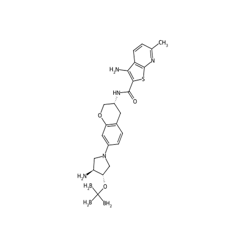 BC(B)(B)O[C@H]1CN(c2ccc3c(c2)OC[C@H](NC(=O)c2sc4nc(C)ccc4c2N)C3)C[C@@H]1N